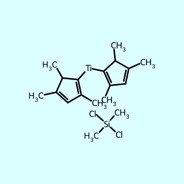 CC1=CC(C)=[C]([Ti][C]2=C(C)C=C(C)C2C)C1C.C[Si](C)(Cl)Cl